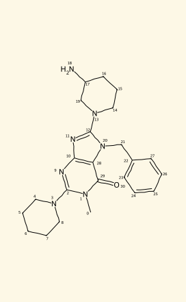 Cn1c(N2CCCCC2)nc2nc(N3CCCC(N)C3)n(Cc3ccccc3)c2c1=O